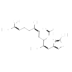 CC(=O)OC(CC=C(C)CCC=C(C)C)C(C)=Cc1csc(C)n1